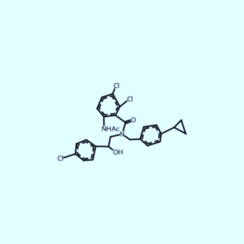 CC(=O)Nc1ccc(Cl)c(Cl)c1C(=O)N(Cc1ccc(C2CC2)cc1)CC(O)c1ccc(Cl)cc1